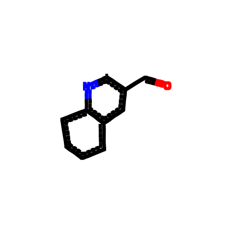 O=Cc1[c]nc2ccccc2c1